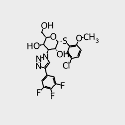 COc1ccc(Cl)cc1S[C@H]1O[C@H](CO)[C@H](O)[C@H](n2cc(-c3cc(F)c(F)c(F)c3)nn2)[C@H]1O